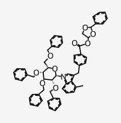 Cc1cccc2c1c(Cc1ccc(C(=O)OC3COC(c4ccccc4)O3)cc1)cn2[C@@H]1O[C@H](COCc2ccccc2)[C@@H](OCc2ccccc2)[C@H](OCc2ccccc2)[C@H]1OCc1ccccc1